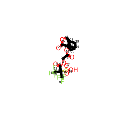 O=C(COC(=O)C(C(F)(F)F)(C(F)(F)F)S(=O)(=O)O)OC1C2CC3C(=O)OC1C3C2